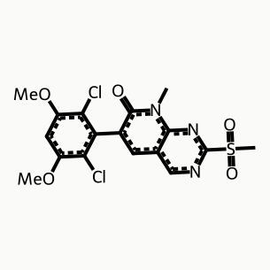 COc1cc(OC)c(Cl)c(-c2cc3cnc(S(C)(=O)=O)nc3n(C)c2=O)c1Cl